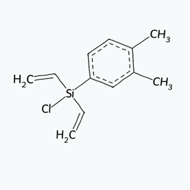 C=C[Si](Cl)(C=C)c1ccc(C)c(C)c1